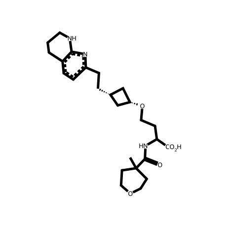 CC1(C(=O)NC(CCO[C@H]2C[C@@H](CCc3ccc4c(n3)NCCC4)C2)C(=O)O)CCOCC1